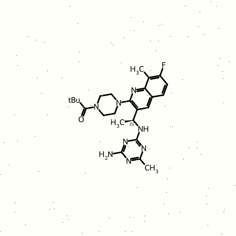 Cc1nc(N)nc(N[C@@H](C)c2cc3ccc(F)c(C)c3nc2N2CCN(C(=O)C(C)(C)C)CC2)n1